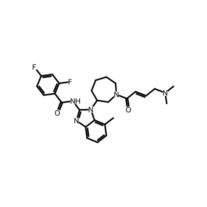 Cc1cccc2nc(NC(=O)c3ccc(F)cc3F)n(C3CCCCN(C(=O)C=CCN(C)C)C3)c12